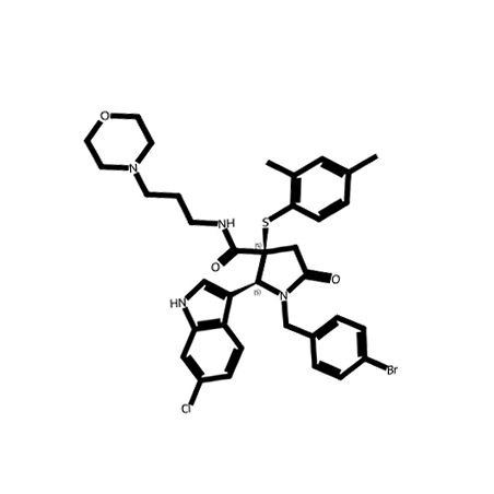 Cc1ccc(S[C@@]2(C(=O)NCCCN3CCOCC3)CC(=O)N(Cc3ccc(Br)cc3)[C@H]2c2c[nH]c3cc(Cl)ccc23)c(C)c1